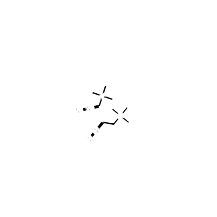 C[Si](C)(C)C=[N+]=[N-].C[Si](C)(C)CC=[N+]=[N-]